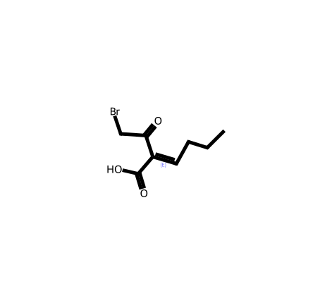 CCC/C=C(/C(=O)O)C(=O)CBr